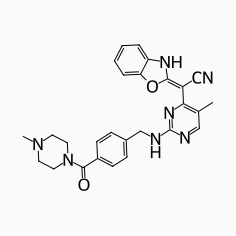 Cc1cnc(NCc2ccc(C(=O)N3CCN(C)CC3)cc2)nc1/C(C#N)=C1/Nc2ccccc2O1